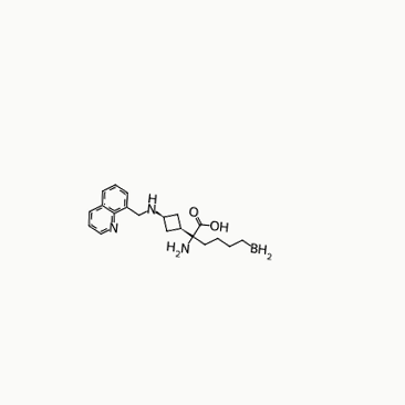 BCCCCC(N)(C(=O)O)[C@H]1C[C@@H](NCc2cccc3cccnc23)C1